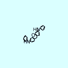 c1ccc(Nc2ccc3c(c2)Oc2cc(Nc4ccccc4)ccc2C3)cc1